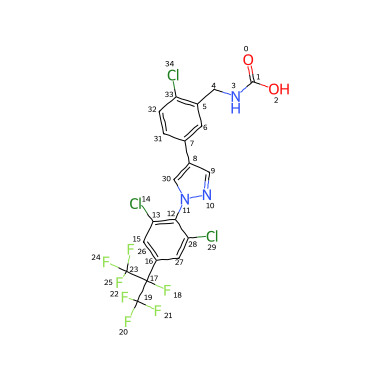 O=C(O)NCc1cc(-c2cnn(-c3c(Cl)cc(C(F)(C(F)(F)F)C(F)(F)F)cc3Cl)c2)ccc1Cl